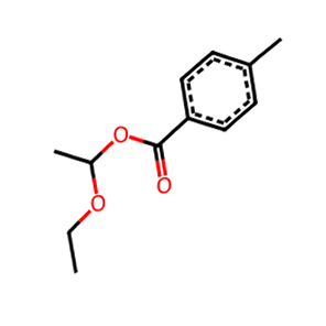 CCOC(C)OC(=O)c1ccc(C)cc1